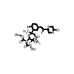 CC(C)(C)OC(=O)N(C(=O)OC(C)(C)C)C1=NC(C)(c2cc(C=C(F)c3cnc(Cl)cn3)ccc2F)CS(=O)(=O)C1(C)C